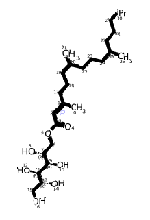 C/C(=C\C(=O)OC[C@@H](O)[C@@H](O)[C@H](O)[C@H](O)CO)CCCC(C)CCCC(C)CCCC(C)C